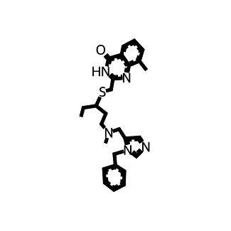 CCC(CCN(C)Cc1cncn1Cc1ccccc1)SCc1nc2c(C)cccc2c(=O)[nH]1